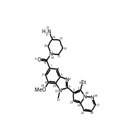 CCc1c(-c2nc3cc(C(=O)N4CCCC(N)C4)cc(OC)c3n2C)cc2cccnn12